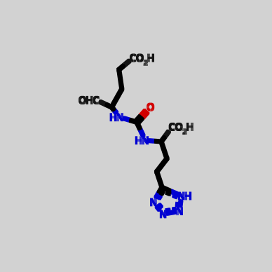 O=CC(CCC(=O)O)NC(=O)NC(CCc1nnn[nH]1)C(=O)O